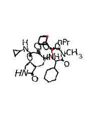 CCC[C@@H](C(=O)N[C@@H](C[C@@H]1CCNC1=O)C(=O)C(=O)NC1CC1)N(C)C(=O)[C@H](NC(=O)C12CC(C1)C2)C1CCCCC1